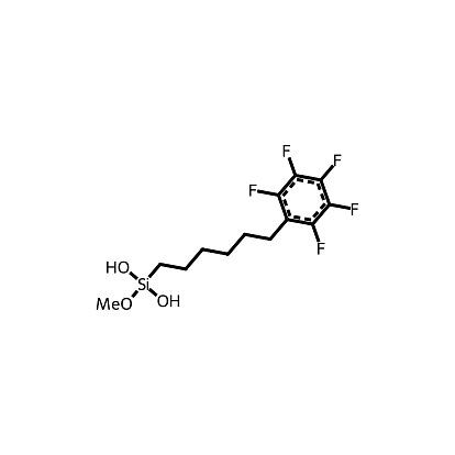 CO[Si](O)(O)CCCCCCc1c(F)c(F)c(F)c(F)c1F